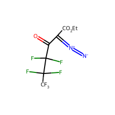 CCOC(=O)C(=[N+]=[N-])C(=O)C(F)(F)C(F)(F)C(F)(F)F